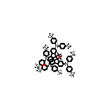 CC(C)(C)C1(C2(C(C)(C)C)c3cc(N(c4ccc([Si](C)(C)C)cc4)c4ccc([Si](C)(C)C)cc4)ccc3-c3ccc(N(c4ccc([Si](C)(C)C)cc4)c4ccc([Si](C)(C)C)cc4)cc32)c2cc(N(c3ccc([Si](C)(C)C)cc3)c3ccc([Si](C)(C)C)cc3)ccc2-c2ccc(N(c3ccc([Si](C)(C)C)cc3)c3ccc([Si](C)(C)C)cc3)cc21